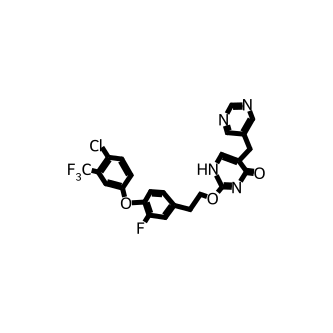 O=c1nc(OCCc2ccc(Oc3ccc(Cl)c(C(F)(F)F)c3)c(F)c2)[nH]cc1Cc1cncnc1